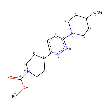 COC1CCN(c2ccc(C3CCN(C(=O)OC(C)(C)C)CC3)nn2)CC1